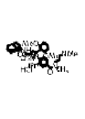 CNCCCN(C)C(=O)c1ccc(-n2nc(C(=O)NC3(C(=O)O)C4CC5CC(C4)CC3C5)cc2-c2c(OC)cccc2OC)c(C(C)C)c1.Cl